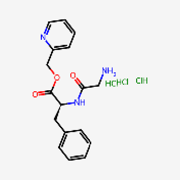 Cl.Cl.Cl.NCC(=O)N[C@@H](Cc1ccccc1)C(=O)OCc1ccccn1